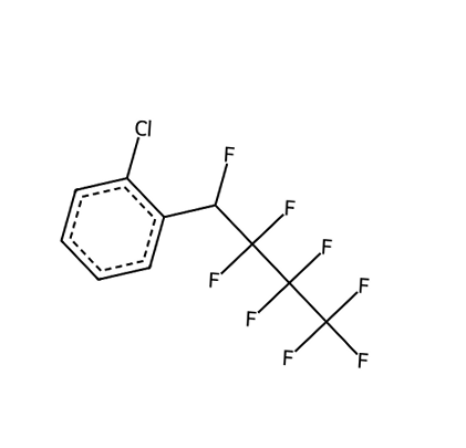 FC(c1ccccc1Cl)C(F)(F)C(F)(F)C(F)(F)F